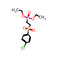 CCOP(=O)(CCS(=O)(=O)c1ccc(Cl)cc1)OCC